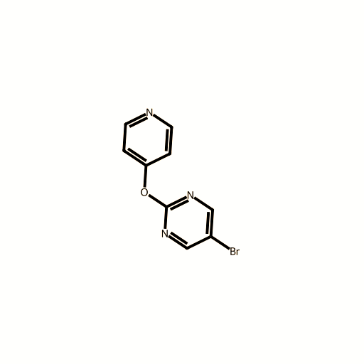 Brc1cnc(Oc2ccncc2)nc1